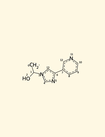 [CH2]C(O)n1cnc(-c2cccnc2)c1